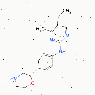 CCc1cnc(NC2=CCC([C@H]3CNCCO3)C=C2)nc1C